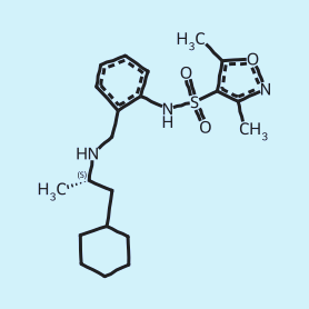 Cc1noc(C)c1S(=O)(=O)Nc1ccccc1CN[C@@H](C)CC1CCCCC1